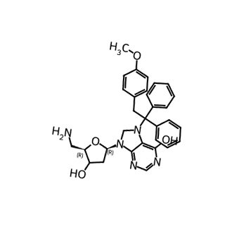 COc1ccc(CC(c2ccccc2)(c2ccccc2)N2CN([C@H]3CC(O)[C@@H](CN)O3)c3ncnc(O)c32)cc1